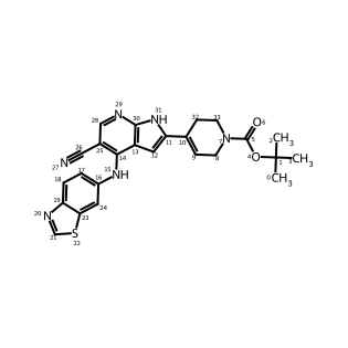 CC(C)(C)OC(=O)N1CC=C(c2cc3c(Nc4ccc5ncsc5c4)c(C#N)cnc3[nH]2)CC1